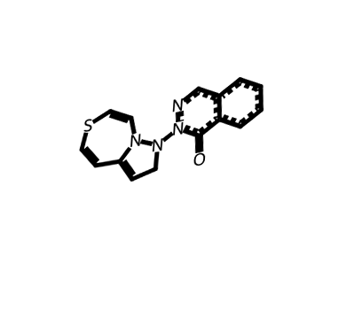 O=c1c2ccccc2cnn1N1CC=C2C=CSC=CN21